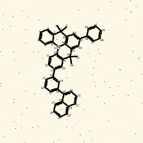 CC1(C)c2ccccc2N2c3ccc(-c4cccc(-c5cccc6ccccc56)c4)cc3C(C)(C)c3cc(-c4ccccc4)cc1c32